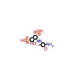 COc1cc(C)c(N=Nc2cc(S(=O)(=O)O)cc3cc(S(=O)(=O)O)cc(O)c23)cc1N